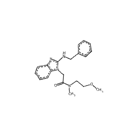 COCCN(C)C(=O)Cn1c(NCc2ccccc2)nc2ccccc21